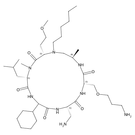 CCCCCCN1C[C@@H](C)NC(=O)[C@H](COCCCN)NC(=O)[C@H](CN)NC(=O)C(C2CCCCC2)NC(=O)[C@H](CC(C)C)N(C)C(=O)[C@@H]1CCOC